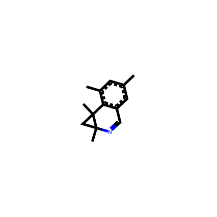 Cc1cc(C)c2c(c1)C=NC1(C)CC21C